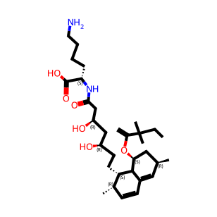 C=C(O[C@H]1C[C@@H](C)C=C2C=C[C@H](C)[C@H](CC[C@@H](O)C[C@@H](O)CC(=O)N[C@@H](CCCCN)C(=O)O)C21)C(C)(C)CC